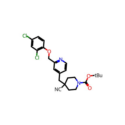 CC(C)(C)OC(=O)N1CCC(C#N)(Cc2ccnc(COc3ccc(Cl)cc3Cl)c2)CC1